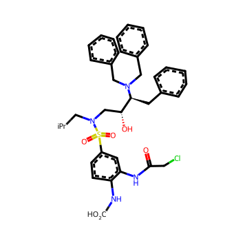 CC(C)CN(C[C@@H](O)[C@H](Cc1ccccc1)N(Cc1ccccc1)Cc1ccccc1)S(=O)(=O)c1ccc(NC(=O)O)c(NC(=O)CCl)c1